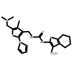 CCOC(=O)c1c(NC(=O)NCc2c(-n3cccc3)sc(CN(C)C)c2C)sc2c1CCCC2